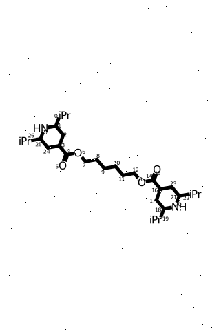 CC(C)C1CC(C(=O)OCCCCCCOC(=O)C2CC(C(C)C)NC(C(C)C)C2)CC(C(C)C)N1